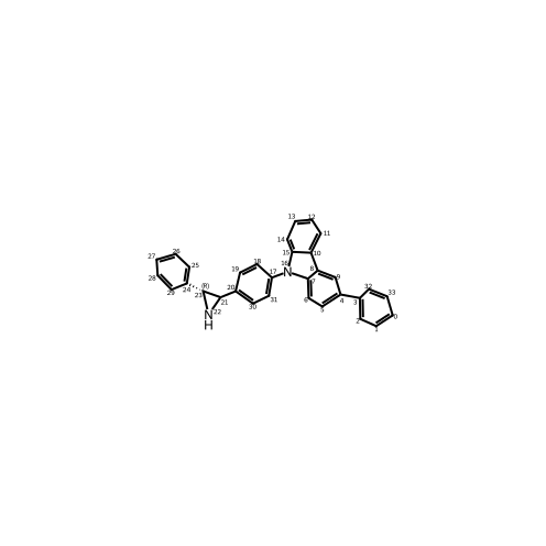 c1ccc(-c2ccc3c(c2)c2ccccc2n3-c2ccc(C3N[C@@H]3c3ccccc3)cc2)cc1